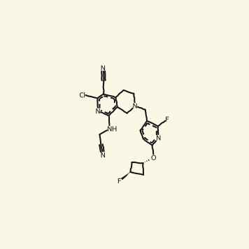 N#CCNc1nc(Cl)c(C#N)c2c1CN(Cc1ccc(O[C@H]3C[C@H](F)C3)nc1F)CC2